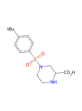 CC(C)(C)c1ccc(S(=O)(=O)N2CCNC(C(=O)O)C2)cc1